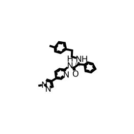 Cc1ccc(CCN[C@H](C(=O)Nc2ccc(-c3cnn(C)c3)cn2)c2ccccc2)cc1